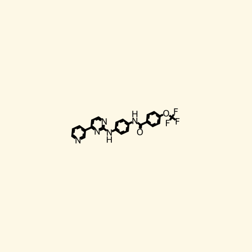 O=C(Nc1ccc(Nc2nccc(-c3cccnc3)n2)cc1)c1ccc(OC(F)(F)F)cc1